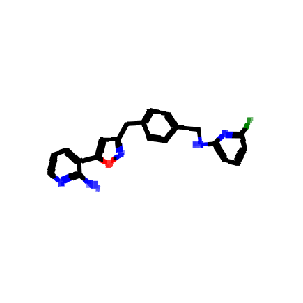 Nc1ncccc1-c1cc(Cc2ccc(CNc3cccc(F)n3)cc2)no1